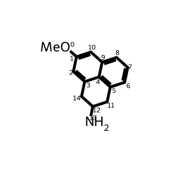 COc1cc2c3c(cccc3c1)CC(N)C2